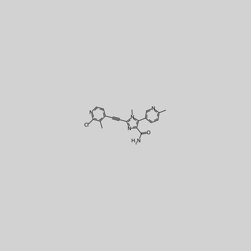 Cc1ccc(-c2c(C(N)=O)nc(C#Cc3ccnc(Cl)c3C)n2C)cn1